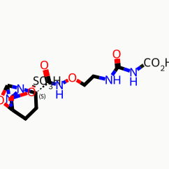 O=C(O)NC(=O)NCCONC(=O)[C@@H]1CCC23CN1C(O2)N3OS(=O)(=O)O